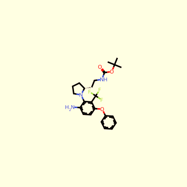 CC(C)(C)OC(=O)NCC[C@H]1CCCN1c1c(N)ccc(Oc2ccccc2)c1C(F)(F)F